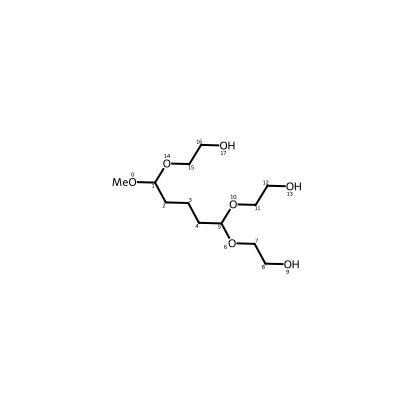 COC(CCCC(OCCO)OCCO)OCCO